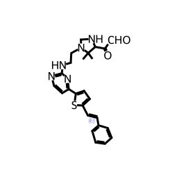 CC1(C)C(C(=O)C=O)NCN1CCNc1nccc(-c2ccc(/C=C/c3ccccc3)s2)n1